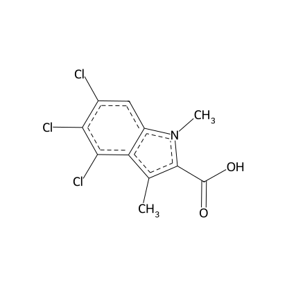 Cc1c(C(=O)O)n(C)c2cc(Cl)c(Cl)c(Cl)c12